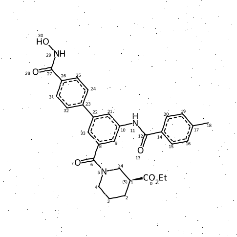 CCOC(=O)[C@H]1CCCN(C(=O)c2cc(NC(=O)c3ccc(C)cc3)cc(-c3ccc(C(=O)NO)cc3)c2)C1